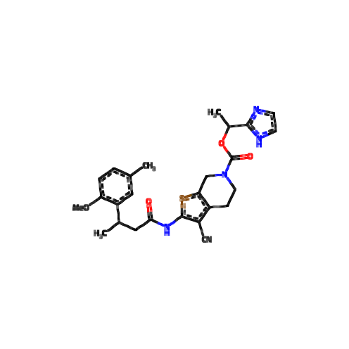 COc1ccc(C)cc1C(C)CC(=O)Nc1sc2c(c1C#N)CCN(C(=O)OC(C)c1ncc[nH]1)C2